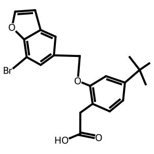 CC(C)(C)c1ccc(CC(=O)O)c(OCc2cc(Br)c3occc3c2)c1